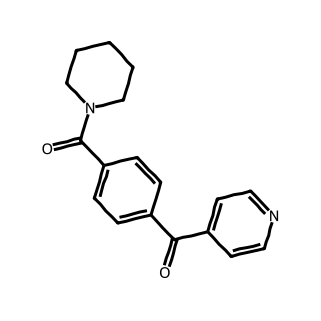 O=C(c1ccncc1)c1ccc(C(=O)N2CCCCC2)cc1